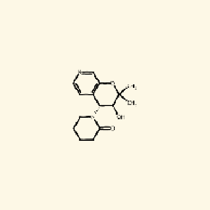 CC1(C)Oc2cnccc2[C@@H](N2CCCCC2=O)[C@@H]1O